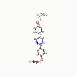 CCCCCCCOc1ccc(-c2ncc(-c3ccc(OCC(F)C(C)CC)cc3)cn2)cc1